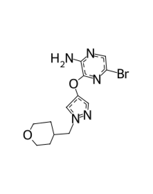 Nc1ncc(Br)nc1Oc1cnn(CC2CCOCC2)c1